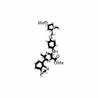 COC(=O)c1nc(-c2cccc3c2ncn3C)c(C)nc1Nc1ccc(OC[C@H]2C[C@H](OC)CN2C)cc1